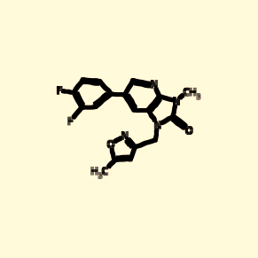 Cc1cc(Cn2c(=O)n(C)c3ncc(-c4ccc(F)c(F)c4)cc32)no1